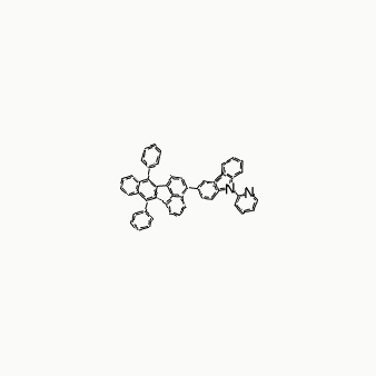 c1ccc(-c2c3c(c(-c4ccccc4)c4ccccc24)-c2ccc(-c4ccc5c(c4)c4ccccc4n5-c4ccccn4)c4cccc-3c24)cc1